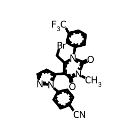 Cn1c(=O)c(-c2ccnn2-c2ccc(C#N)cc2)c(CBr)n(-c2cccc(C(F)(F)F)c2)c1=O